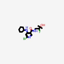 CC(C)(O)C(F)CNC(=O)c1cnc(Br)cc1NC1CCCCC1